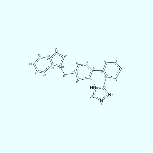 c1ccc(-c2nnn[nH]2)c(-c2ccc(Cn3cnc4ccccc43)cc2)c1